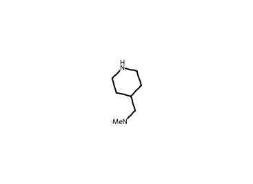 C[N]CC1CCNCC1